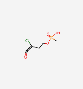 CP(=O)(O)OCCC(Cl)=C=O